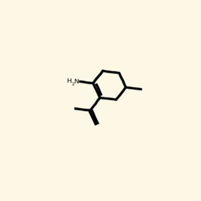 C=C(C)C1=C(N)CCC(C)C1